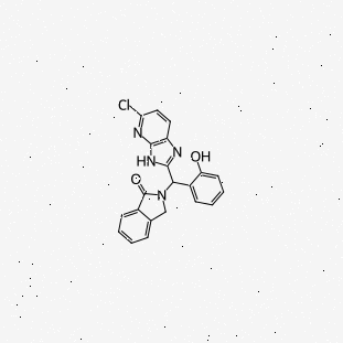 O=C1c2ccccc2CN1C(c1nc2ccc(Cl)nc2[nH]1)c1ccccc1O